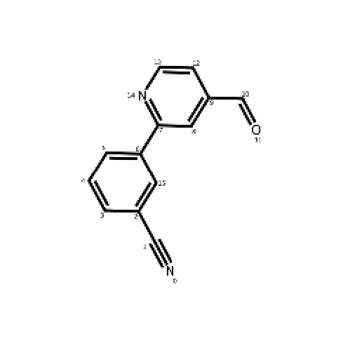 N#Cc1cccc(-c2cc(C=O)ccn2)c1